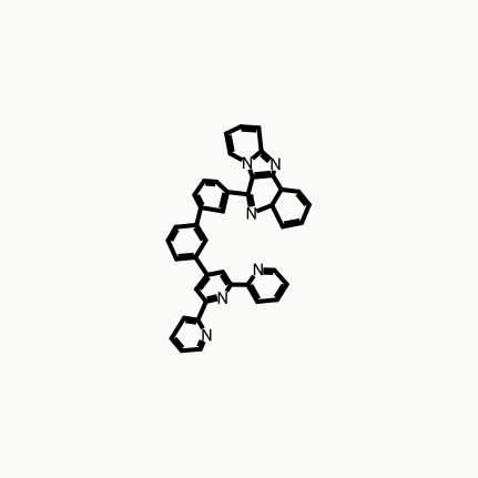 C1=CC2N=C(c3cccc(-c4cccc(-c5cc(-c6ccccn6)nc(-c6ccccn6)c5)c4)c3)c3c(nc4ccccn34)C2C=C1